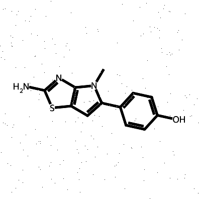 Cn1c(-c2ccc(O)cc2)cc2sc(N)nc21